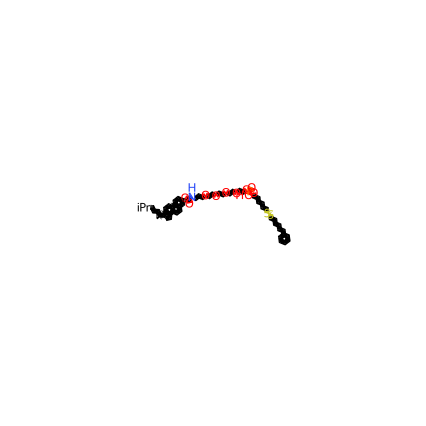 CC(C)CCC[C@H](C)[C@H]1CCC2C3CC=C4C[C@@H](OC(=O)NCCCOCCOCCOCCOCCOP(=O)(O)OCCCCCCSSCCCCCCC5CCCCC5)CC[C@]4(C)C3CC[C@@]21C